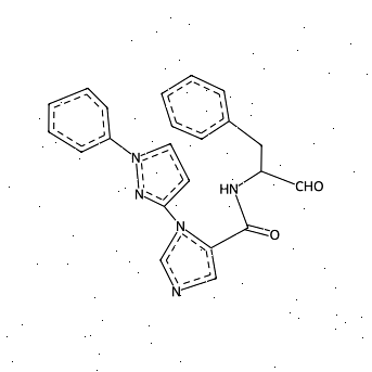 O=CC(Cc1ccccc1)NC(=O)c1cncn1-c1ccn(-c2ccccc2)n1